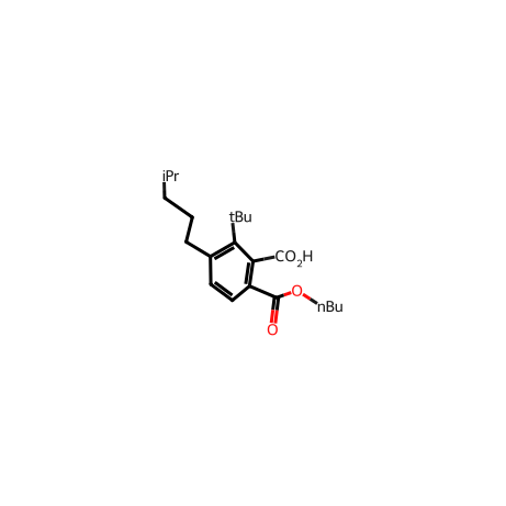 CCCCOC(=O)c1ccc(CCCC(C)C)c(C(C)(C)C)c1C(=O)O